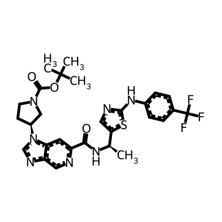 C[C@@H](NC(=O)c1cc2c(cn1)ncn2[C@H]1CCN(C(=O)OC(C)(C)C)C1)c1cnc(Nc2ccc(C(F)(F)F)cc2)s1